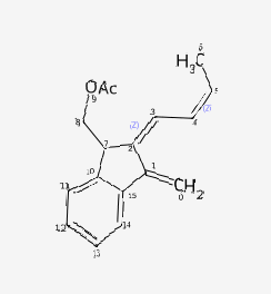 C=C1/C(=C\C=C/C)C(COC(C)=O)c2ccccc21